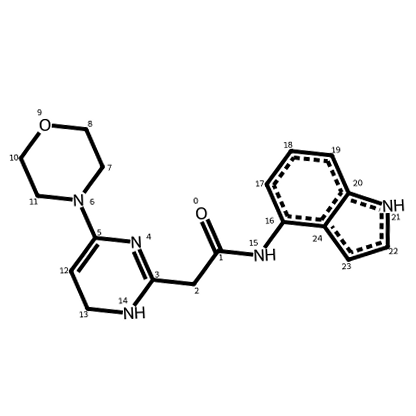 O=C(CC1=NC(N2CCOCC2)=CCN1)Nc1cccc2[nH]ccc12